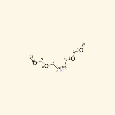 COCOC/C=C\COCOC